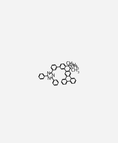 CC1(C)c2ccc(-c3cccc(-c4nc(-c5ccccc5)nc(-c5ccccc5)n4)c3)cc2-c2cc3c4ccccc4c4ccccc4c3cc2C1(C)C